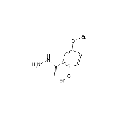 CCOc1ccc(OCC)c(C(=O)NN)c1